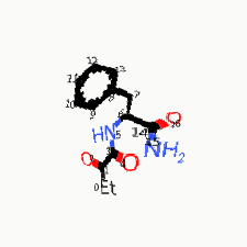 CCC(=O)C(=O)N[C@@H](Cc1ccccc1)C(N)=O